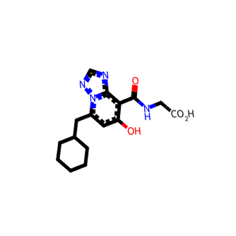 O=C(O)CNC(=O)c1c(O)cc(CC2CCCCC2)n2ncnc12